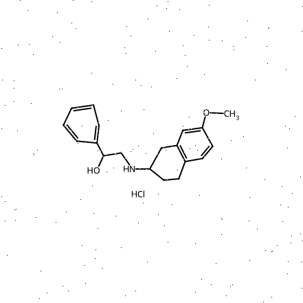 COc1ccc2c(c1)CC(NCC(O)c1ccccc1)CC2.Cl